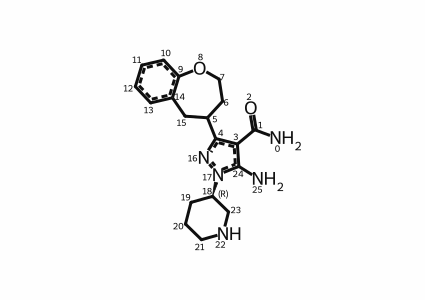 NC(=O)c1c(C2CCOc3ccccc3C2)nn([C@@H]2CCCNC2)c1N